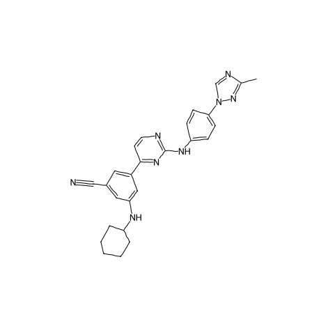 Cc1ncn(-c2ccc(Nc3nccc(-c4cc(C#N)cc(NC5CCCCC5)c4)n3)cc2)n1